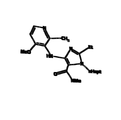 CCCCCCCn1c(CC)nc(Nc2c(OC)ccnc2C)c1C(=O)NC